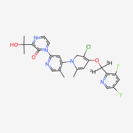 [2H]C([2H])(OC1=C(Cl)CN(c2cc(-n3ccnc(C(C)(C)O)c3=O)ncc2C)C(C)=C1)c1ncc(F)cc1F